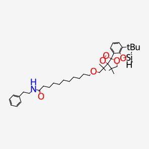 C[SiH](C)Oc1c(C(C)(C)C)cccc1C12OCC(C)(C)C1(C(C)(C)COCCCCCCCCCCC(=O)NCCc1ccccc1)OO2